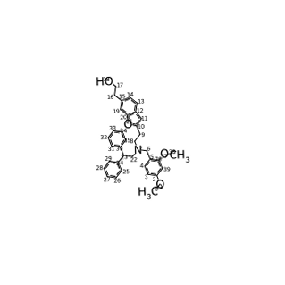 COc1ccc(CN(CCc2cc3ccc(CCO)cc3o2)CC(c2ccccc2)c2ccccc2)c(OC)c1